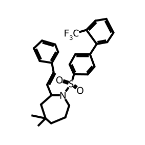 CC1(C)CCCN(S(=O)(=O)c2ccc(-c3ccccc3C(F)(F)F)cc2)C(C=Cc2ccccc2)C1